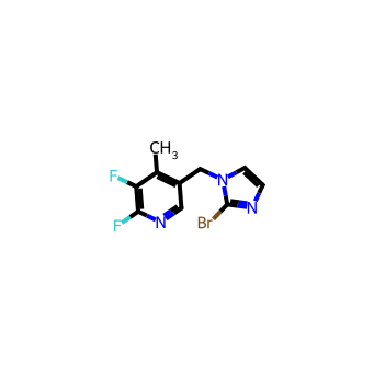 Cc1c(Cn2ccnc2Br)cnc(F)c1F